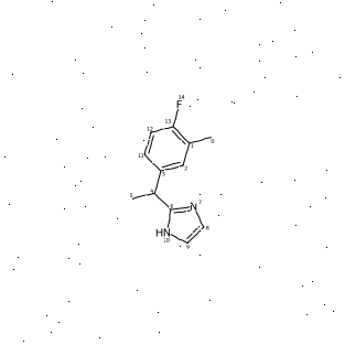 Cc1cc(C(C)c2ncc[nH]2)ccc1F